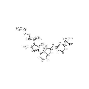 C=C(NCCOC)c1c(C)nn(-c2cccc3cc(Cc4cccc(C(F)(F)F)c4)sc23)c1C